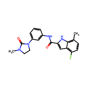 Cc1ccc(F)c2cc(C(=O)Nc3cccc(N4CCN(C)C4=O)c3)[nH]c12